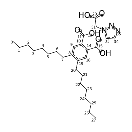 CCCCCCCCc1cc(C(=O)O)c(C(=O)O)cc1CCCCCCCC.O=C(O)Cn1ccnn1